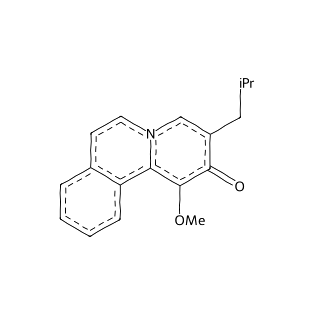 COc1c(=O)c(CC(C)C)cn2ccc3ccccc3c12